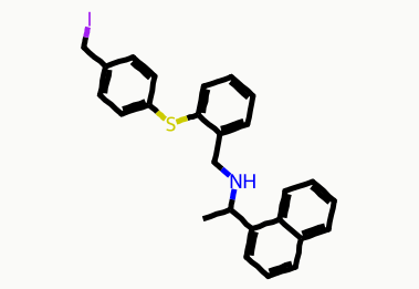 CC(NCc1ccccc1Sc1ccc(CI)cc1)c1cccc2ccccc12